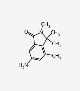 Cc1cc(N)cc2c1C(C)(C)N(C)C2=O